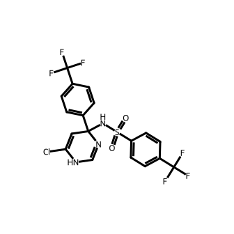 O=S(=O)(NC1(c2ccc(C(F)(F)F)cc2)C=C(Cl)NC=N1)c1ccc(C(F)(F)F)cc1